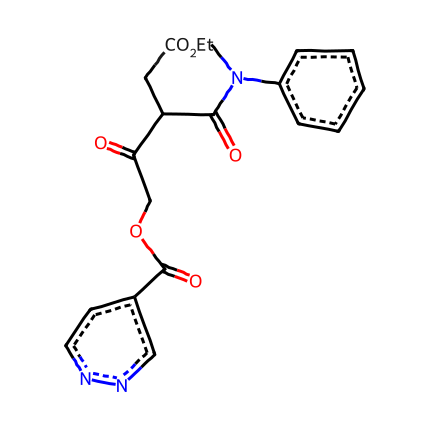 CCOC(=O)CC(C(=O)COC(=O)c1ccnnc1)C(=O)N(C)c1ccccc1